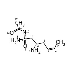 C/C=C\C[C@H](N)CS(N)(=O)=NC(C)=O